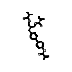 C=C(C)C(=O)OCC(COC(=O)C(C)C)Cc1ccc(-c2ccc(OC(=O)C(=C)C)cc2)cc1